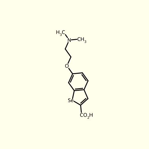 CN(C)CCOc1ccc2cc(C(=O)O)[se]c2c1